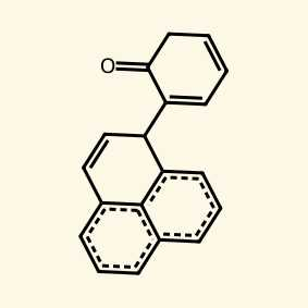 O=C1CC=CC=C1C1C=Cc2cccc3cccc1c23